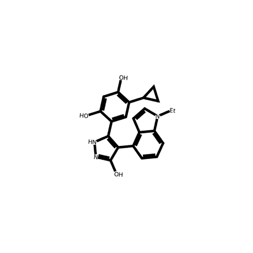 CCn1ccc2c(-c3c(O)n[nH]c3-c3cc(C4CC4)c(O)cc3O)cccc21